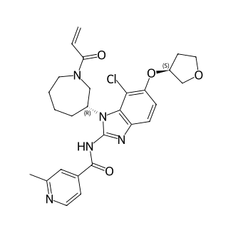 C=CC(=O)N1CCCC[C@@H](n2c(NC(=O)c3ccnc(C)c3)nc3ccc(O[C@H]4CCOC4)c(Cl)c32)C1